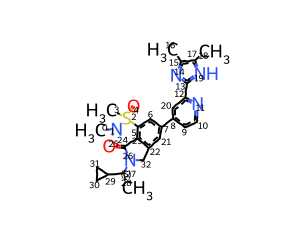 CN=S(C)(=O)c1cc(-c2ccnc(-c3nc(C)c(C)[nH]3)c2)cc2c1C(=O)N([C@@H](C)C1CC1)C2